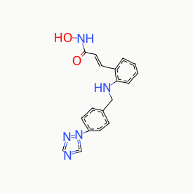 O=C(/C=C/c1ccccc1NCc1ccc(-n2cncn2)cc1)NO